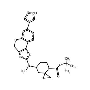 CN(c1nc2c(s1)-c1ccc(-c3cn[nH]c3)cc1OC2)C1CCN(C(=O)OC(C)(C)C)C2(CC2)C1